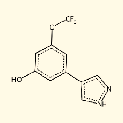 Oc1cc(OC(F)(F)F)cc(-c2cn[nH]c2)c1